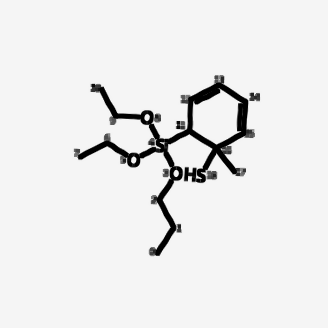 CCCO[Si](OCC)(OCC)C1C=CC=CC1(C)S